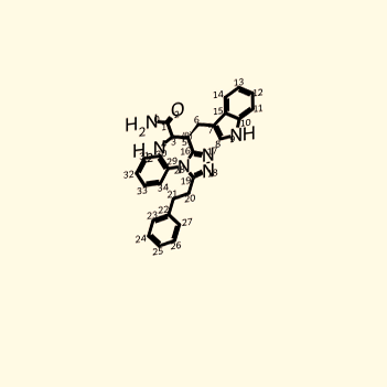 NC(=O)C(N)[C@@H](Cc1c[nH]c2ccccc12)c1nnc(CCc2ccccc2)n1-c1ccccc1